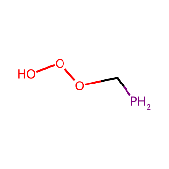 OOOCP